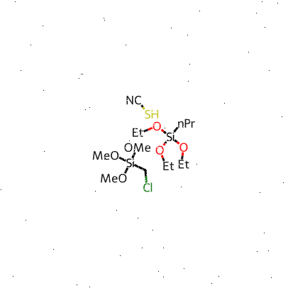 CCC[Si](OCC)(OCC)OCC.CO[Si](CCl)(OC)OC.N#CS